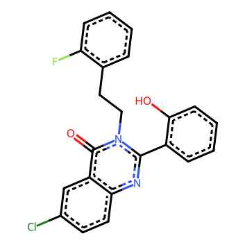 O=c1c2cc(Cl)ccc2nc(-c2ccccc2O)n1CCc1ccccc1F